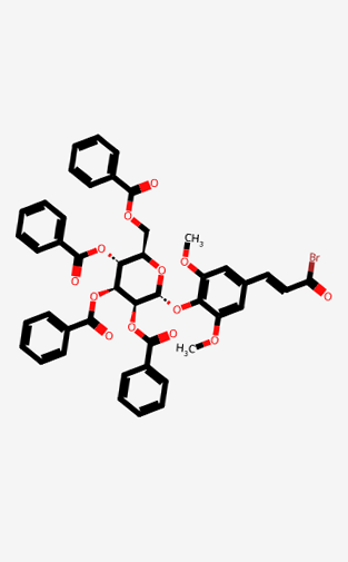 COc1cc(/C=C/C(=O)Br)cc(OC)c1O[C@H]1O[C@H](COC(=O)c2ccccc2)[C@@H](OC(=O)c2ccccc2)[C@H](OC(=O)c2ccccc2)[C@@H]1OC(=O)c1ccccc1